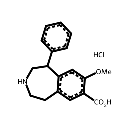 COc1cc2c(cc1C(=O)O)CCNCC2c1ccccc1.Cl